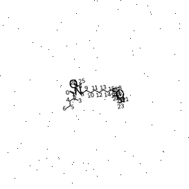 C=C(C(C)CCC)N(CCCCCCCC[Si](C)(C)O[Si](C)(C)C)C(C)=O